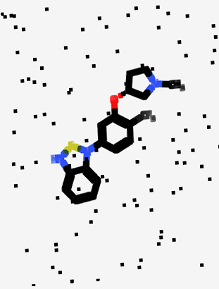 CN1CC[C@@H](Oc2cc(N3SNc4ccccc43)ccc2C(F)(F)F)C1